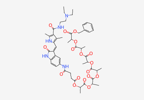 CCN(CC)CCNC(=O)c1c(C)[nH]c(/C=C2\C(=O)Nc3ccc(NC(=O)CCC(=O)OC(C)C(=O)OC(C)C(=O)OC(C)C(=O)OC(C)C(=O)OC(C)C(=O)OC(C)C(=O)OCc4ccccc4)cc32)c1C